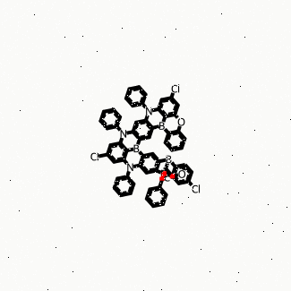 Clc1cc2c3c(c1)N(c1ccccc1)c1cc4c(cc1B3c1ccccc1O2)B1c2cc3c(cc2N(c2ccccc2)c2cc(Cl)cc(c21)N4c1ccccc1)N(c1ccccc1)c1cc(Cl)cc2c1B3c1ccccc1O2